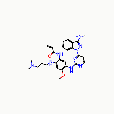 C=CC(=O)Nc1cc(Nc2nccc(-n3nc(NC)c4ccccc43)n2)c(OC)cc1NCCCN(C)C